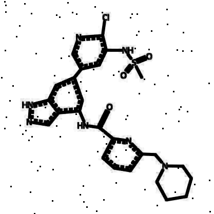 CS(=O)(=O)Nc1cc(-c2cc(NC(=O)c3cccc(CN4CCCCC4)n3)c3cn[nH]c3c2)cnc1Cl